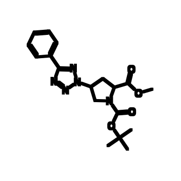 COC(=O)C1CC(n2nnc(-c3ccccc3)n2)CN1C(=O)OC(C)(C)C